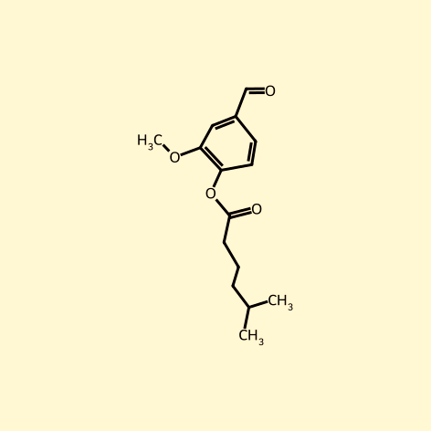 COc1cc(C=O)ccc1OC(=O)CCCC(C)C